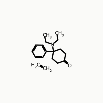 C=C.CCN(CC)C1(c2ccccc2)CCC(=O)CC1